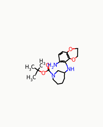 CC(C)(C)OC(=O)N1CCCCC(Nc2c(N)ccc3c2OCCO3)C1